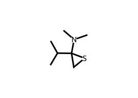 CC(C)C1(N(C)C)CS1